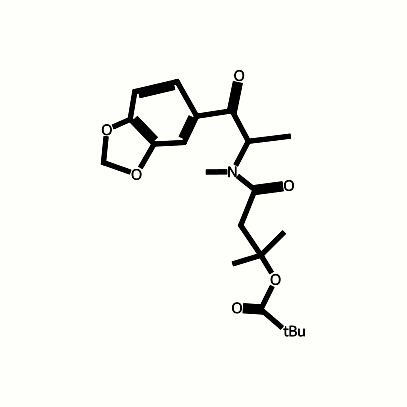 CC(C(=O)c1ccc2c(c1)OCO2)N(C)C(=O)CC(C)(C)OC(=O)C(C)(C)C